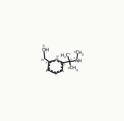 CNC(C)(C)c1cccc(CO)n1